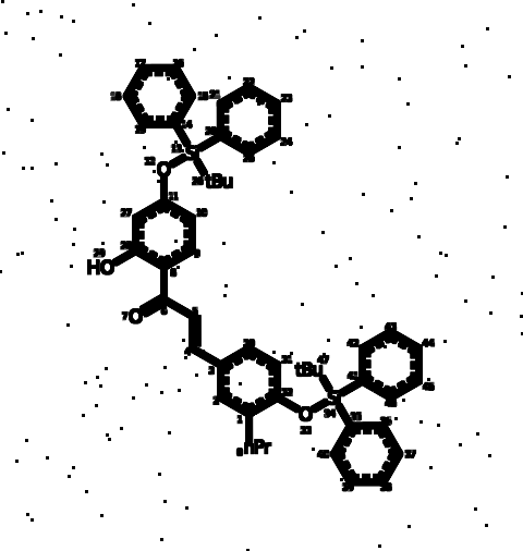 CCCc1cc(C=CC(=O)c2ccc(O[Si](c3ccccc3)(c3ccccc3)C(C)(C)C)cc2O)ccc1O[Si](c1ccccc1)(c1ccccc1)C(C)(C)C